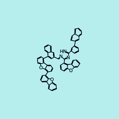 N=C(/N=C(\N=C\c1cc(-c2cccc3oc4c(-c5cccc6c5oc5ccccc56)cccc4c23)c2ccccc2c1)c1cccc2oc3ccccc3c12)c1cccc(-c2ccc3ccccc3c2)c1